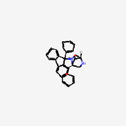 F[C@H]1[C@@H]2CN(C3(c4ccccc4)c4ccccc4-c4ccccc43)[C@@]1(Cc1ccccc1)CN2